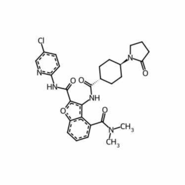 CN(C)C(=O)c1cccc2oc(C(=O)Nc3ccc(Cl)cn3)c(NC(=O)[C@H]3CC[C@H](N4CCCC4=O)CC3)c12